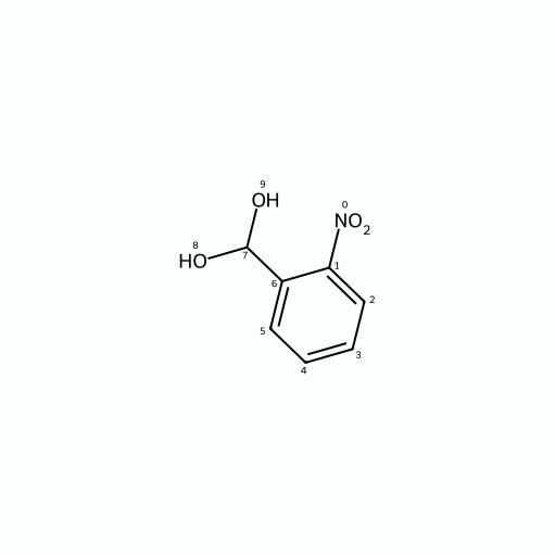 O=[N+]([O-])c1ccccc1C(O)O